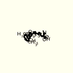 CC1(C)CCN2CCC(C)(C)c3c2c1cc1cc(-c2ccc(-c4ccc(/C=C(\C#N)C(=O)O)s4)s2)c(=O)oc31